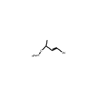 CCCCCCC(C)C=CC(C)=O